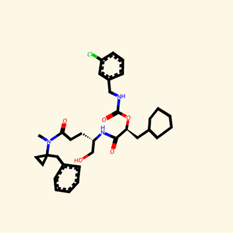 CN(C(=O)CC[C@@H](CO)NC(=O)[C@H](CC1CCCCC1)OC(=O)NCc1cccc(Cl)c1)C1(Cc2ccccc2)CC1